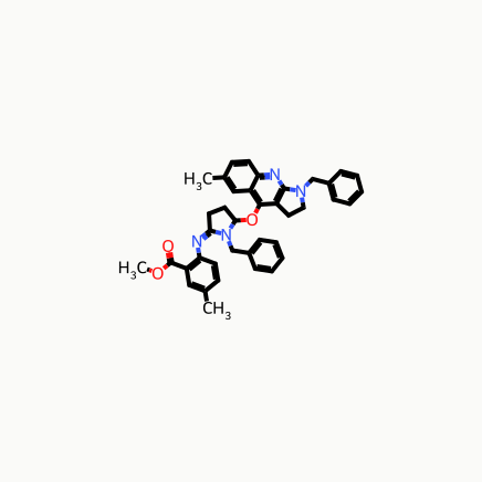 COC(=O)c1cc(C)ccc1/N=C1/CCC(Oc2c3c(nc4ccc(C)cc24)N(Cc2ccccc2)CC3)N1Cc1ccccc1